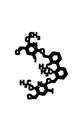 COc1nc(OCc2cccc(-c3cccc(COc4nc(OC)c(C=O)cc4I)c3C)c2C)c(I)cc1C=O